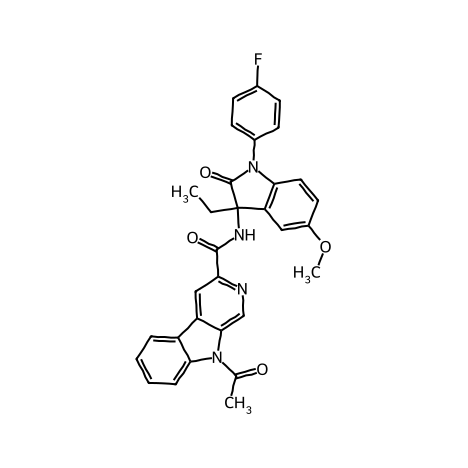 CCC1(NC(=O)c2cc3c4ccccc4n(C(C)=O)c3cn2)C(=O)N(c2ccc(F)cc2)c2ccc(OC)cc21